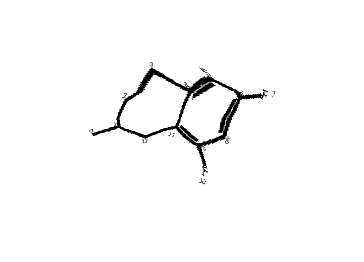 CC1CCc2cc(F)cc(F)c2C1